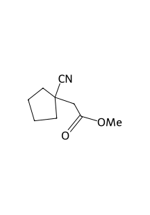 COC(=O)CC1(C#N)CCCC1